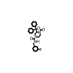 O=C(NCc1cccc(F)c1)N1CCN2C(=O)OC(c3ccccc3)(c3ccccc3)C2C1